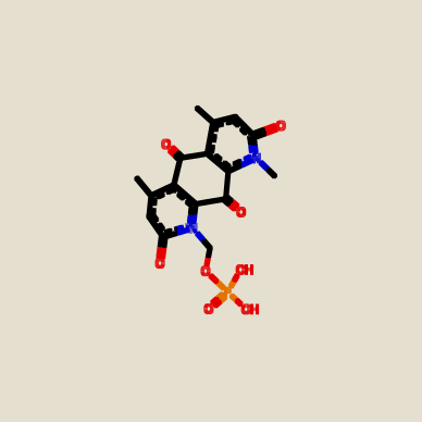 Cc1cc(=O)n(C)c2c1C(=O)c1c(C)cc(=O)n(COP(=O)(O)O)c1C2=O